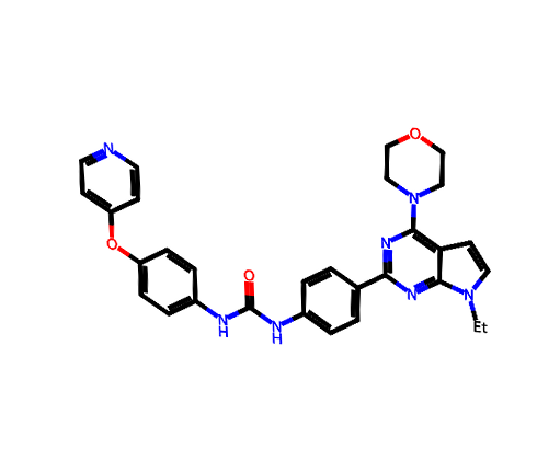 CCn1ccc2c(N3CCOCC3)nc(-c3ccc(NC(=O)Nc4ccc(Oc5ccncc5)cc4)cc3)nc21